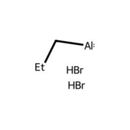 Br.Br.CC[CH2][Al]